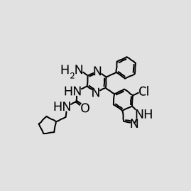 Nc1nc(-c2ccccc2)c(-c2cc(Cl)c3[nH]ncc3c2)nc1NC(=O)NCC1CCCC1